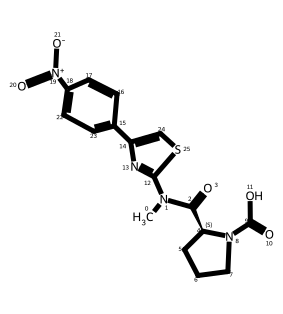 CN(C(=O)[C@@H]1CCCN1C(=O)O)c1nc(-c2ccc([N+](=O)[O-])cc2)cs1